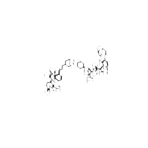 Cn1c(=O)n(C2CCC(=O)NC2=O)c2cccc(CCCC3CCN(C[C@H]4CC[C@H](n5cc(NC(=O)c6cnn7ccc(N8CCCOCC8)nc67)c(C(F)F)n5)CC4)CC3)c21